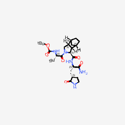 CC(C)(C)OC(=O)N[C@H](C(=O)N1C[C@@H]2[C@@H]3CC[C@@H](C3)[C@@H]2[C@H]1C(=O)N[C@@H](C[C@@H]1CCNC1=O)C(N)=O)C(C)(C)C